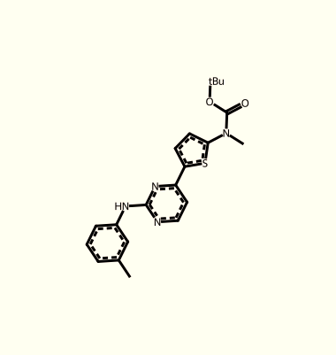 Cc1cccc(Nc2nccc(-c3ccc(N(C)C(=O)OC(C)(C)C)s3)n2)c1